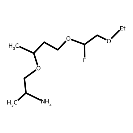 CCOCC(F)OCCC(C)OCC(C)N